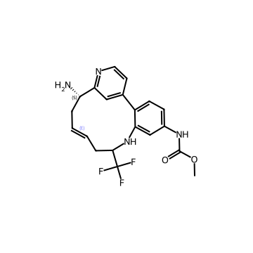 COC(=O)Nc1ccc2c(c1)NC(C(F)(F)F)C/C=C/C[C@H](N)c1cc-2ccn1